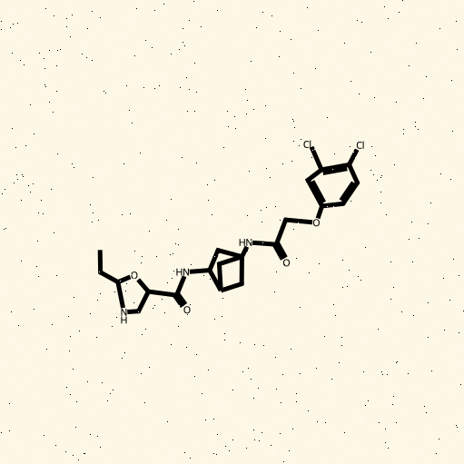 CCC1NCC(C(=O)NC2CC3(NC(=O)COc4ccc(Cl)c(Cl)c4)CC2C3)O1